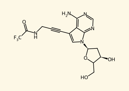 Nc1ncnc2c1c(C#CCNC(=O)C(F)(F)F)cn2[C@H]1C[C@@H](O)C(CO)O1